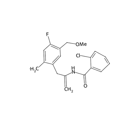 [CH2]c1cc(F)c(COC)cc1CC(=C)NC(=O)c1ccccc1Cl